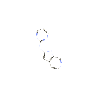 c1cnc(Nc2cc3ccncc3[nH]2)nc1